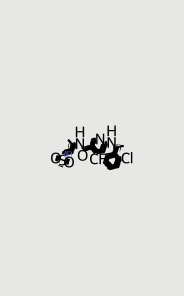 C[C@H](/C=C/S(C)(=O)=O)NC(=O)c1cnc(N[C@@H](C)c2ccccc2Cl)cc1C(F)(F)F